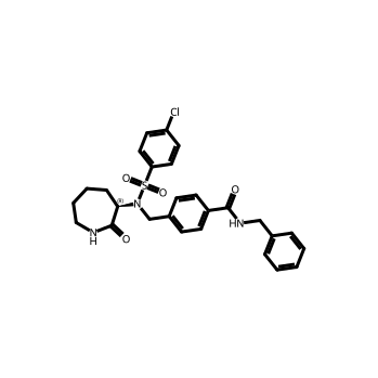 O=C(NCc1ccccc1)c1ccc(CN([C@@H]2CCCCNC2=O)S(=O)(=O)c2ccc(Cl)cc2)cc1